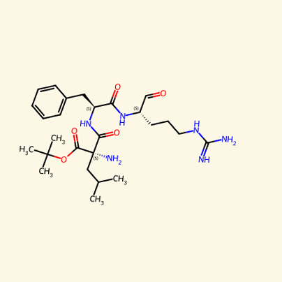 CC(C)C[C@](N)(C(=O)N[C@@H](Cc1ccccc1)C(=O)N[C@H](C=O)CCCNC(=N)N)C(=O)OC(C)(C)C